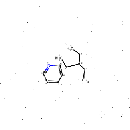 CCB(CC)CC.c1ccncc1